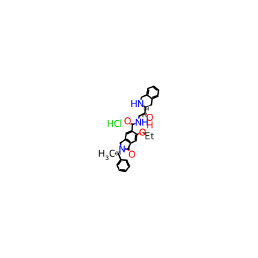 CCOc1cc2c(cc1C(=O)NC[C@@H](O)[C@@H]1Cc3ccccc3CN1)CN([C@@H](C)c1ccccc1)C2=O.Cl